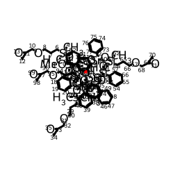 CO[Si](O[Si](C)(C)CCCOCC1CO1)(O[Si]1(c2ccccc2)O[Si](O[Si](C)(C)CCCOCC2CO2)(c2ccccc2)O[SiH](c2ccccc2)O[Si]2(c3ccccc3)O[Si](O[Si](C)(C)CCCOCC3CO3)(c3ccccc3)O[Si](c3ccccc3)(O[Si](O[Si](C)(C)CCCOCC3CO3)(c3ccccc3)O2)O1)c1ccccc1